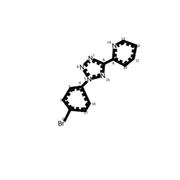 Brc1ccc(-n2nnc(-c3ccccn3)n2)cc1